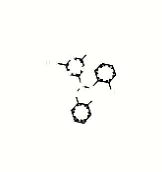 Nc1nc(Cl)nc(N(Sc2ccccc2Cl)Sc2ccccc2Cl)n1